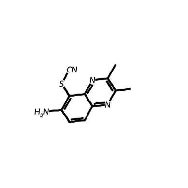 Cc1nc2ccc(N)c(SC#N)c2nc1C